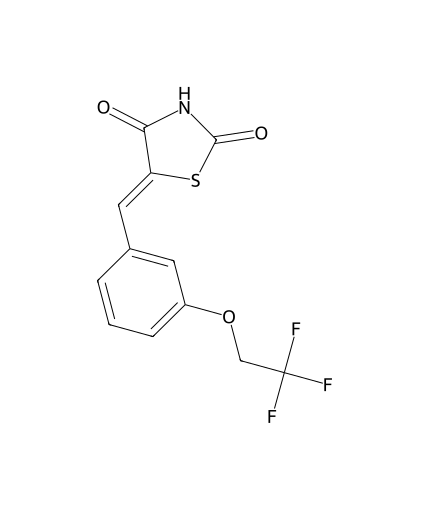 O=C1NC(=O)C(=Cc2cccc(OCC(F)(F)F)c2)S1